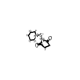 O=C1CCC(=O)N1SN1CCCCC1